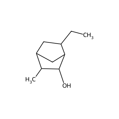 CCC1CC2CC1C(O)C2C